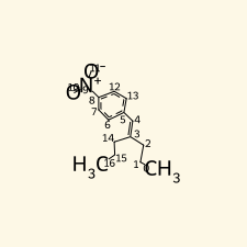 CCCC(=Cc1ccc([N+](=O)[O-])cc1)CCC